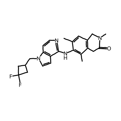 Cc1cc2c(c(C)c1Nc1nccc3c1ccn3CC1CC(F)(F)C1)CC(=O)N(C)C2